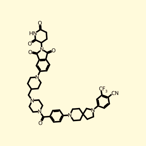 N#Cc1ccc(N2CCC3(CCN(c4ccc(C(=O)N5CCN(CC6CCN(c7ccc8c(c7)C(=O)N(C7CCC(=O)NC7=O)C8=O)CC6)CC5)cc4)CC3)C2)cc1C(F)(F)F